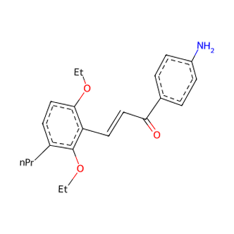 CCCc1ccc(OCC)c(/C=C/C(=O)c2ccc(N)cc2)c1OCC